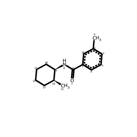 Cc1cccc(C(=O)N[C@@H]2CCCC[C@@H]2C)c1